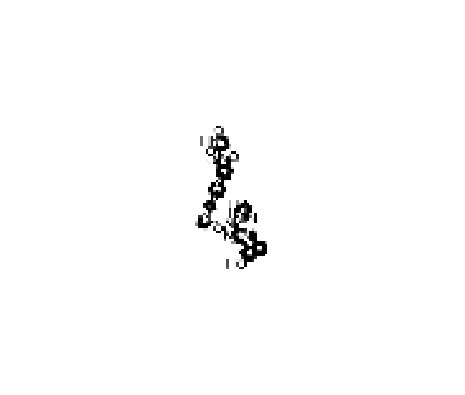 C#Cc1cccc2cc(O)cc(-c3ncc4c(N5C[C@H]6CC[C@@H](C5)N6)nc(OC[C@@H]5CCCN5C5CC(N6CCN(c7ccc8c(c7)C(=O)N(C7CCC(=O)NC7=O)C8=O)CC6)C5)nc4c3F)c12